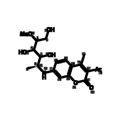 COC(CO)C(O)C(O)[C@@H](C)Nc1ccc2c(C)c(C(C)=O)c(=O)oc2c1